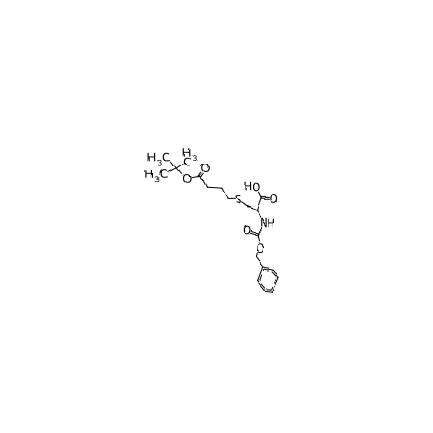 CC(C)(C)OC(=O)CCCSC[C@H](NC(=O)OCc1ccccc1)C(=O)O